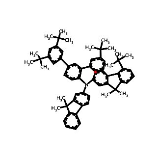 CC(C)(C)c1cccc(-c2cc(-c3cc(C(C)(C)C)cc(C(C)(C)C)c3)ccc2N(c2ccc3c(c2)C(C)(C)c2ccccc2-3)c2ccc3c(c2)C(C)(C)c2cccc(C(C)(C)C)c2-3)c1